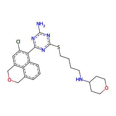 Nc1nc(SCCCCNC2CCOCC2)nc(-c2c(Cl)cc3c4c(cccc24)COC3)n1